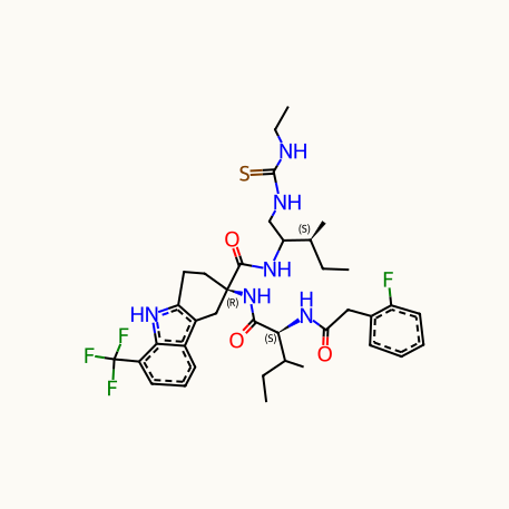 CCNC(=S)NCC(NC(=O)[C@@]1(NC(=O)[C@@H](NC(=O)Cc2ccccc2F)C(C)CC)CCc2[nH]c3c(C(F)(F)F)cccc3c2C1)[C@@H](C)CC